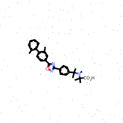 Cc1ccccc1-c1ccc(-c2nc(-c3ccc(C(C)(C)N(C)C(C)(C)C(=O)O)cc3)no2)cc1C